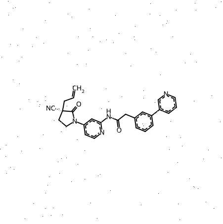 C=CC[C@]1(C#N)CCN(c2ccnc(NC(=O)Cc3cccc(-c4cccnc4)c3)c2)C1=O